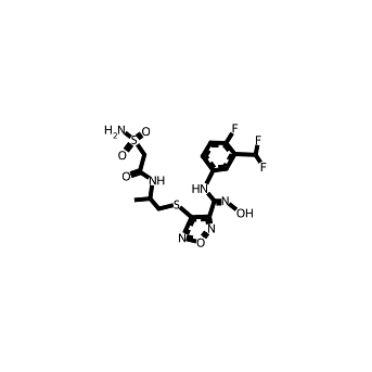 CC(CSc1nonc1/C(=N\O)Nc1ccc(F)c(C(F)F)c1)NC(=O)CS(N)(=O)=O